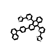 c1cc(-c2cscn2)nc(-c2c3ccccc3c(-c3cccc(-c4cscn4)n3)c3cc(-c4ccc(-c5cccc6ccccc56)cc4)ccc23)c1